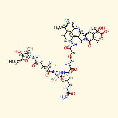 CC[C@@]1(O)C(=O)OCc2c1cc1n(c2=O)Cc2c-1nc1cc(F)c(C)c3c1c2[C@@H](NC(=O)COCNC(=O)[C@H](CCCNC(N)=O)NC(=O)[C@@H](NC(=O)[C@@H](N)CCC(=O)N[C@@H]1OC(C(=O)O)[C@@H](O)[C@H]1O)C(C)C)CC3